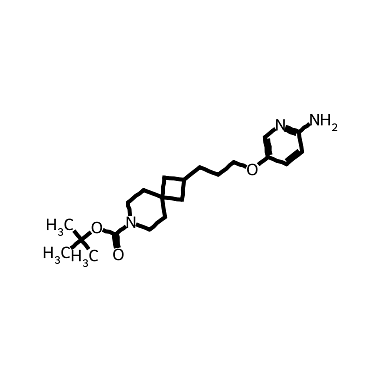 CC(C)(C)OC(=O)N1CCC2(CC1)CC(CCCOc1ccc(N)nc1)C2